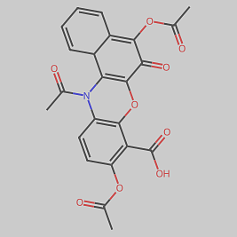 CC(=O)OC1=C2C=CC=CC2C2=C(Oc3c(ccc(OC(C)=O)c3C(=O)O)N2C(C)=O)C1=O